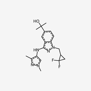 Cc1nn(C)cc1Nc1nn(CC2CC2(F)F)c2ccc(C(C)(C)O)cc12